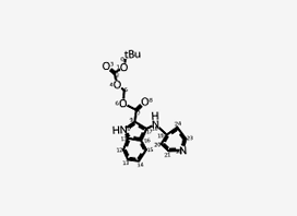 CC(C)(C)OC(=O)OCOC(=O)c1[nH]c2ccccc2c1Nc1ccncc1